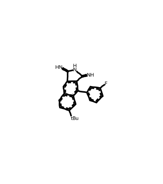 CC(C)(C)c1ccc2cc3c(c(-c4cccc(F)c4)c2c1)C(=N)NC3=N